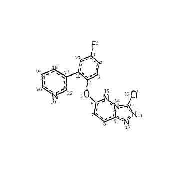 Fc1ccc(Oc2ccc3nnc(Cl)n3n2)c(-c2cccnc2)c1